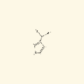 FC(F)C1=[C][N]C=C1